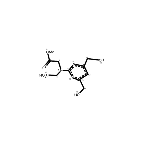 COC(=O)CN(CC(=O)O)c1nc(CO)cc(CO)n1